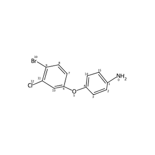 Nc1ccc(Oc2ccc(Br)c(Cl)c2)cc1